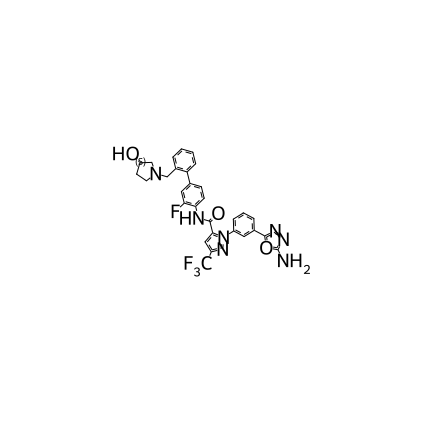 Nc1nnc(-c2cccc(-n3nc(C(F)(F)F)cc3C(=O)Nc3ccc(-c4ccccc4CN4CC[C@H](O)C4)cc3F)c2)o1